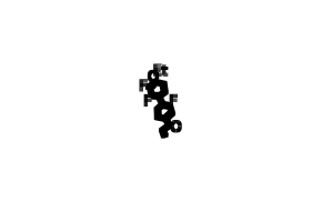 C=CC(=O)c1ccc(-c2ccc(OCC)c(F)c2F)c(F)c1